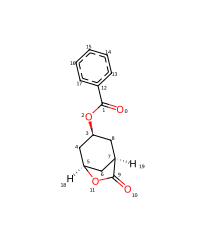 O=C(O[C@@H]1C[C@H]2C[C@@H](C1)C(=O)O2)c1ccccc1